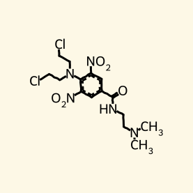 CN(C)CCNC(=O)c1cc([N+](=O)[O-])c(N(CCCl)CCCl)c([N+](=O)[O-])c1